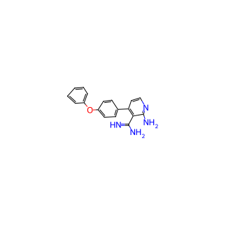 N=C(N)c1c(-c2ccc(Oc3ccccc3)cc2)ccnc1N